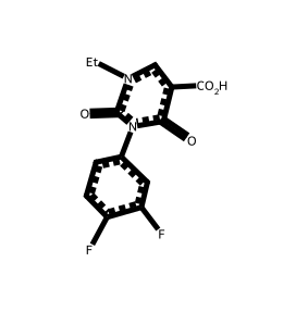 CCn1cc(C(=O)O)c(=O)n(-c2ccc(F)c(F)c2)c1=O